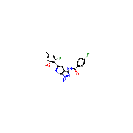 C=C(C)/C=C(F)\C(=C(/C)OC)c1cc2c(NC(=O)c3ccc(F)cc3)n[nH]c2cn1